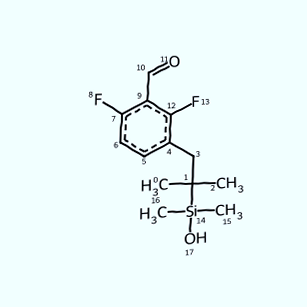 CC(C)(Cc1ccc(F)c(C=O)c1F)[Si](C)(C)O